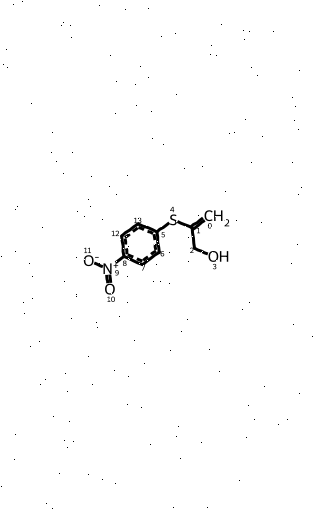 C=C(CO)Sc1ccc([N+](=O)[O-])cc1